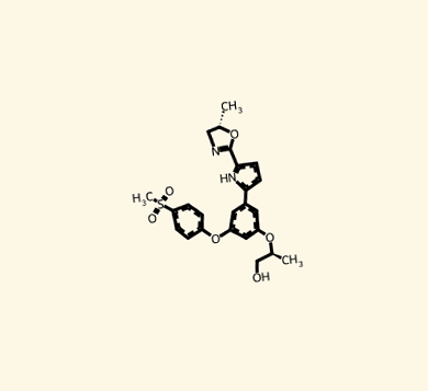 C[C@H]1CN=C(c2ccc(-c3cc(Oc4ccc(S(C)(=O)=O)cc4)cc(O[C@@H](C)CO)c3)[nH]2)O1